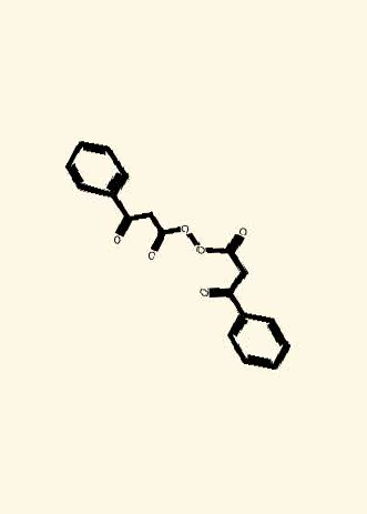 O=C(CC(=O)c1ccccc1)OOC(=O)CC(=O)c1ccccc1